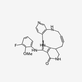 COc1c(F)cccc1Nc1c2[nH]c3c1C(=O)NCC3CC#CCNc1cnccc1-2